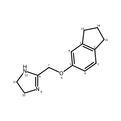 c1cc2c(cc1OCC1=NCCN1)CCC2